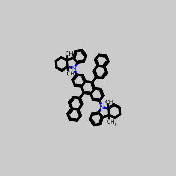 CC12CCCCC1(C)N(c1ccc3c(-c4ccc5ccccc5c4)c4cc(N5c6ccccc6C6(C)CCCCC56C)ccc4c(-c4ccc5ccccc5c4)c3c1)c1ccccc12